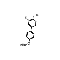 CCCCOc1ccc(-c2ccc(C=O)c(F)c2)cc1